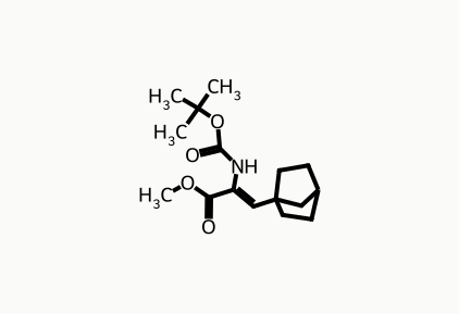 COC(=O)/C(=C/C12CCC(CC1)C2)NC(=O)OC(C)(C)C